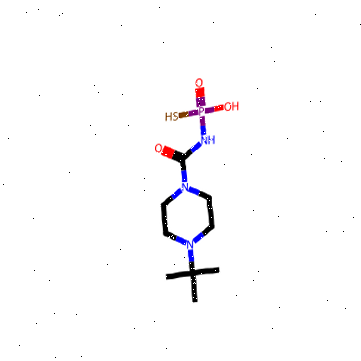 CC(C)(C)N1CCN(C(=O)NP(=O)(O)S)CC1